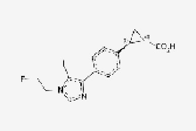 O=C(O)[C@H]1C[C@@H]1c1ccc(-c2ncn(CCF)c2I)cc1